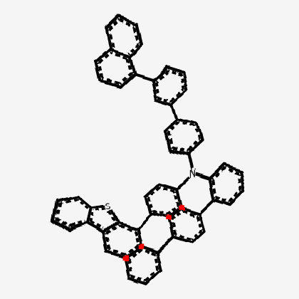 c1ccc(-c2ccc(-c3ccccc3N(c3ccc(-c4cccc(-c5cccc6ccccc56)c4)cc3)c3ccc(-c4cccc5c4sc4ccccc45)cc3)cc2)cc1